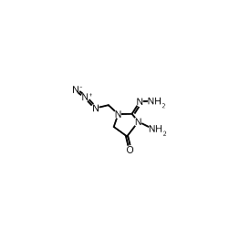 [N-]=[N+]=NCN1CC(=O)N(N)C1=NN